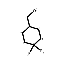 [O]CC1CCC(F)(F)CC1